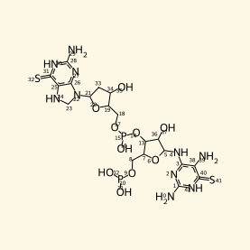 Nc1nc(NC2OC(COP(O)O)C(OP(O)OCC3OC(N4CNc5c4nc(N)[nH]c5=S)CC3O)C2O)c(N)c(=S)[nH]1